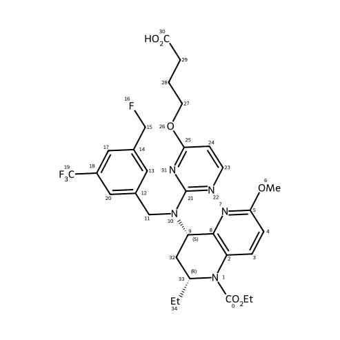 CCOC(=O)N1c2ccc(OC)nc2[C@@H](N(Cc2cc(CF)cc(C(F)(F)F)c2)c2nccc(OCCCC(=O)O)n2)C[C@H]1CC